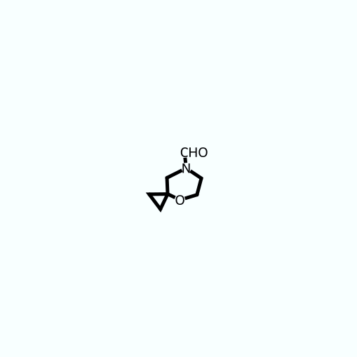 O=CN1CCOC2(CC2)C1